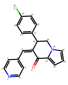 O=C1C(=Cc2ccncc2)C(c2ccc(Cl)cc2)Cn2cccc21